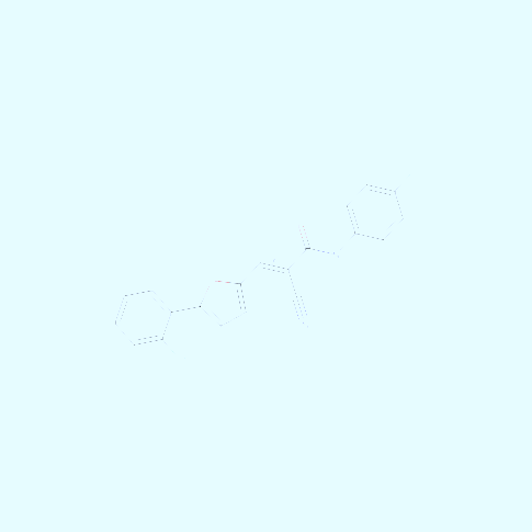 N#C/C(=C\c1ccc(-c2ccccc2Cl)o1)C(=O)Nc1ccc(F)cc1